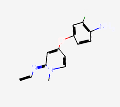 C=C/N=c1/cc(Oc2ccc(N)c(F)c2)ccn1C